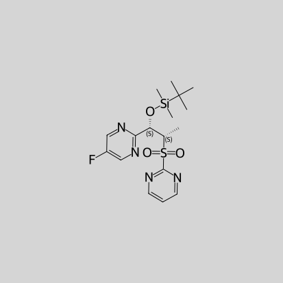 C[C@@H]([C@@H](O[Si](C)(C)C(C)(C)C)c1ncc(F)cn1)S(=O)(=O)c1ncccn1